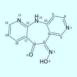 O=c1c(=NO)c2cnccc2[nH]c2ncccc12